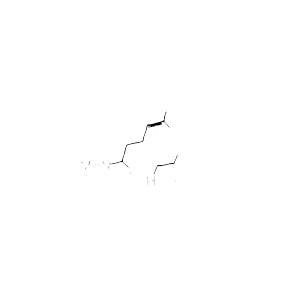 CNC(C)CCC=C(C)C.O=C(O)CCC(=O)O